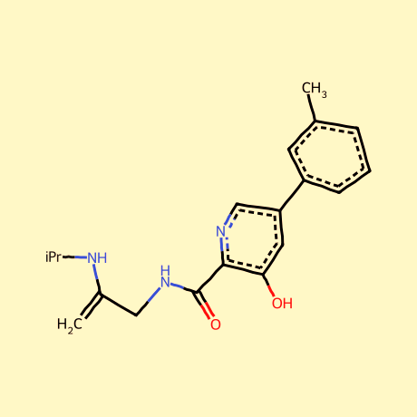 C=C(CNC(=O)c1ncc(-c2cccc(C)c2)cc1O)NC(C)C